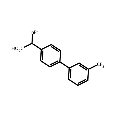 CCCC(C(=O)O)c1ccc(-c2cccc(C(F)(F)F)c2)cc1